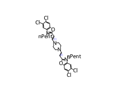 CCCCC[n+]1c(/C=C/N2CCN(/C=C/c3oc4cc(Cl)c(Cl)cc4[n+]3CCCCC)CC2)oc2cc(Cl)c(Cl)cc21